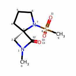 CN1C[C@@]2(CCCN2S(C)(=O)=O)C1=O